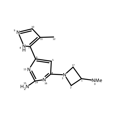 CNC1CN(c2cc(-c3[nH]ncc3C)nc(N)n2)C1